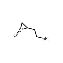 CCCCCC1C[S+]1[O-]